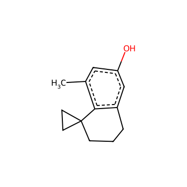 Cc1cc(O)cc2c1C1(CCC2)CC1